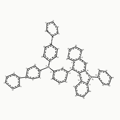 c1ccc(-c2ccc(N(c3ccc(-c4ccccc4)cc3)c3cccc(-c4c5ccccc5cc5c4c4ccccc4n5-c4ccccc4)c3)cc2)cc1